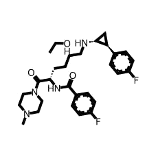 CCO.CN1CCN(C(=O)[C@H](CCCCN[C@@H]2C[C@H]2c2ccc(F)cc2)NC(=O)c2ccc(F)cc2)CC1